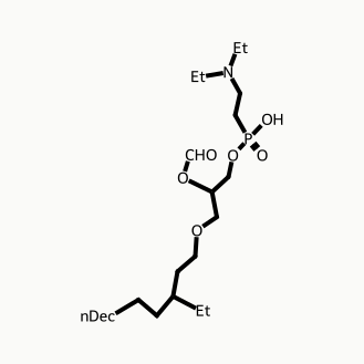 CCCCCCCCCCCCC(CC)CCOCC(COP(=O)(O)CCN(CC)CC)OC=O